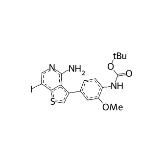 COc1cc(-c2csc3c(I)cnc(N)c23)ccc1NC(=O)OC(C)(C)C